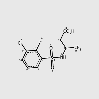 O=C(O)CC(NS(=O)(=O)c1cccc(Cl)c1F)C(F)(F)F